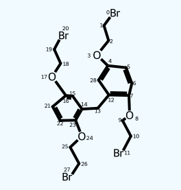 BrCCOc1ccc(OCCBr)c(Cc2cc(OCCBr)ccc2OCCBr)c1